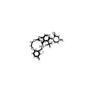 C[C@H]1Nc2nc(nc3cnc(N4CCN(C)CC4=O)c(C(F)(F)F)c23)OCCOc2ccc(F)cc21